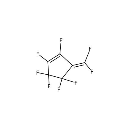 FC(F)=C1C(F)=C(F)C(F)(F)C1(F)F